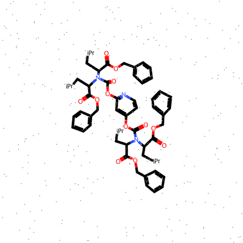 CC(C)CC(C(=O)OCc1ccccc1)N(C(=O)Oc1ccnc(OC(=O)N(C(CC(C)C)C(=O)OCc2ccccc2)C(CC(C)C)C(=O)OCc2ccccc2)c1)C(CC(C)C)C(=O)OCc1ccccc1